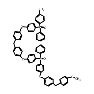 COc1ccc(Cc2ccc(Oc3ccc(P(=O)(c4ccccc4)c4ccc(Oc5ccc(Cc6ccc(Oc7ccc(P(=O)(c8ccccc8)c8ccc(C)cc8)cc7)cc6)cc5)cc4)cc3)cc2)cc1